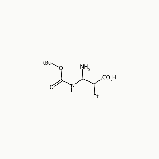 CCC(C(=O)O)C(N)NC(=O)OC(C)(C)C